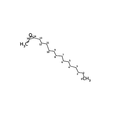 CCCCCCCCCCCCCCC1OC1C